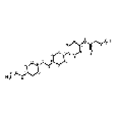 CCCC(=O)O[C@H]1CC[C@H]([C@H]2CC[C@H](CC[C@H]3CC[C@H](CCC)CC3)CC2)CC1